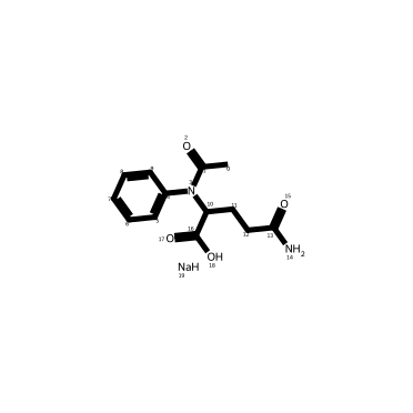 CC(=O)N(c1ccccc1)C(CCC(N)=O)C(=O)O.[NaH]